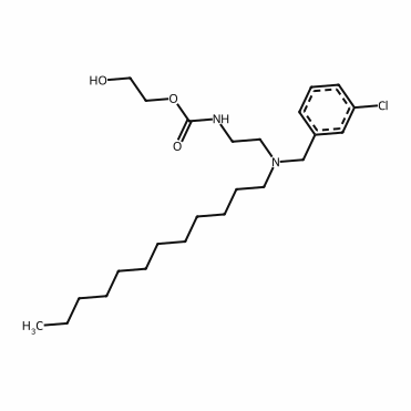 CCCCCCCCCCCCN(CCNC(=O)OCCO)Cc1cccc(Cl)c1